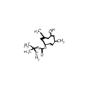 CC1/C=C/C(OC(=O)SC(C)(C)C)CC(C)C(O)C1